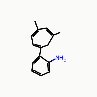 CC1=CC=C(c2ccccc2N)CC(C)=C1